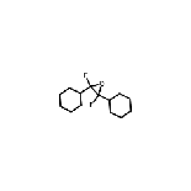 FC1(C2CCCCC2)OC1(F)C1CCCCC1